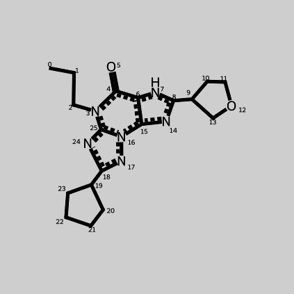 CCCn1c(=O)c2[nH]c(C3CCOC3)nc2n2nc(C3CCCC3)nc12